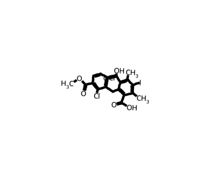 COC(=O)c1ccc(Cl)c(Cc2c(C(=O)O)c(C)c(I)c(C)c2C(=O)O)c1Cl